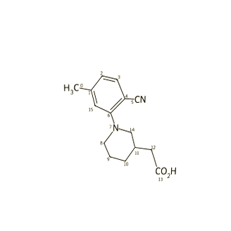 Cc1ccc(C#N)c(N2CCCC(CC(=O)O)C2)c1